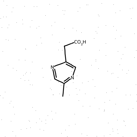 Cc1cnc(CC(=O)O)cn1